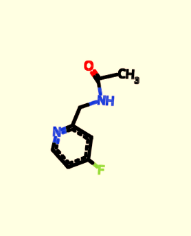 CC(=O)NCc1cc(F)ccn1